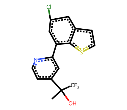 CC(O)(c1ccnc(-c2cc(Cl)cc3ccsc23)c1)C(F)(F)F